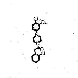 COc1cc(N2CCN(C(=O)CC3C=CCC=C3Cl)CC2)ccc1Cl